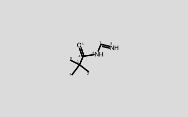 CC(C)(C)C(=O)NC=N